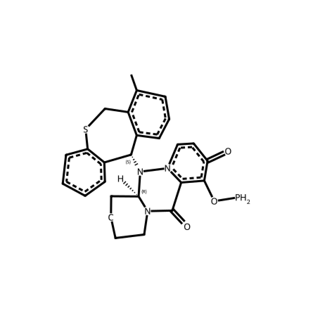 Cc1cccc2c1CSc1ccccc1[C@H]2N1[C@@H]2CCCCN2C(=O)c2c(OP)c(=O)ccn21